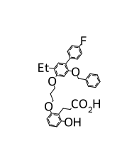 CCc1cc(-c2ccc(F)cc2)c(OCc2ccccc2)cc1OCCCOc1cccc(O)c1CCC(=O)O